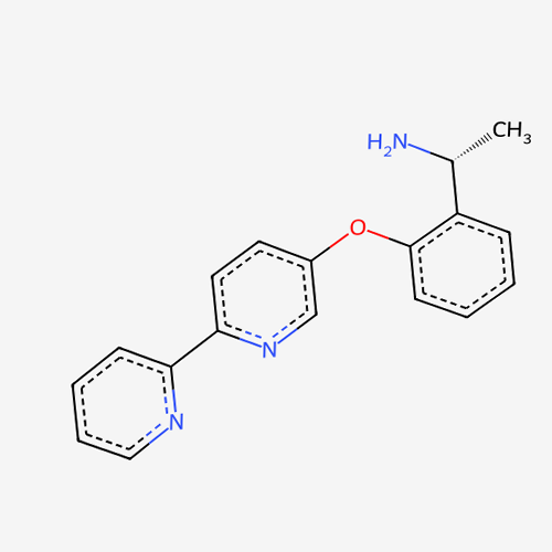 C[C@@H](N)c1ccccc1Oc1ccc(-c2ccccn2)nc1